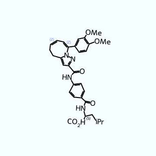 COc1ccc(/C2=C/C=C\CCc3cc(C(=O)Nc4ccc(C(=O)N[C@@H](CC(C)C)C(=O)O)cc4)nn32)cc1OC